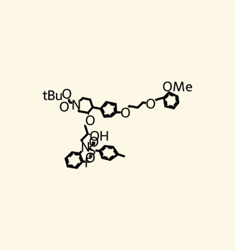 COc1ccccc1COCCCOc1ccc(C2CCN(C(=O)OC(C)(C)C)C[C@H]2OC[C@H](O)CN(c2ccccc2F)S(=O)(=O)c2ccc(C)cc2)cc1